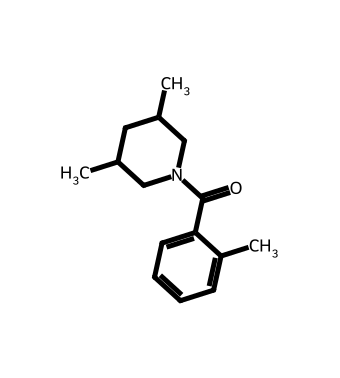 Cc1ccccc1C(=O)N1CC(C)CC(C)C1